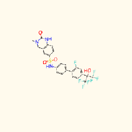 CN1Cc2cc(S(=O)(=O)Nc3ccc(-c4ccc(C(O)(C(F)(F)F)C(F)(F)F)cc4F)cc3)ccc2NC1=O